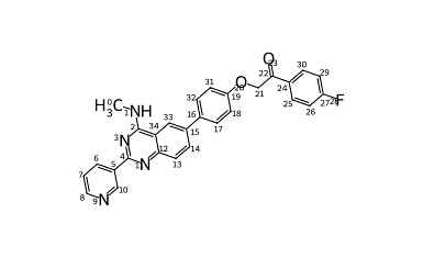 CNc1nc(-c2cccnc2)nc2ccc(-c3ccc(OCC(=O)c4ccc(F)cc4)cc3)cc12